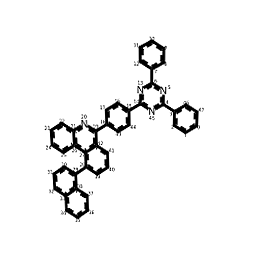 c1ccc(-c2nc(-c3ccccc3)nc(-c3ccc(-c4nc5ccccc5c5c(-c6cccc7ccccc67)cccc45)cc3)n2)cc1